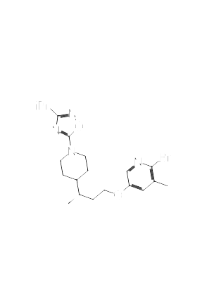 Cc1cc(OCC[C@@H](C)C2CCN(c3nc(C(C)C)no3)CC2)cnc1Br